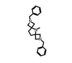 CN1C2(CCC13CN(Cc1ccccc1)C3)CN(Cc1ccccc1)C2